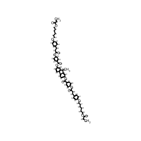 C=CC(=O)OCCCCCCOc1ccc(CCC(=O)Oc2ccc(C(=O)Oc3ccc4c(c3)C(C)c3cc(OC(=O)c5ccc(OC(=O)CCc6ccc(OCCCCCCOC(=O)C=C)cc6)cc5)ccc3-4)cc2)cc1